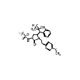 COc1ccc(CCN2C(=O)N(NS(C)(=O)=O)CC2C(c2ccccc2)C(C)(C)C)cc1